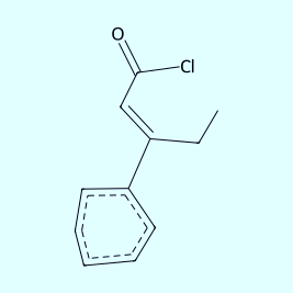 CCC(=CC(=O)Cl)c1ccccc1